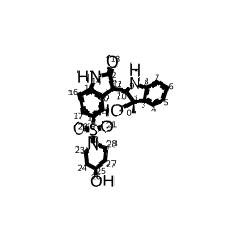 C[C@]1(O)c2ccccc2NC1C1C(=O)Nc2ccc(S(=O)(=O)N3CCC(O)CC3)cc21